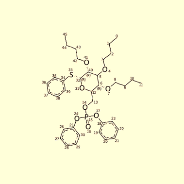 CCCCOC1[C@H](OCCCC)C(COP(=O)(Oc2ccccc2)Oc2ccccc2)O[C@H](Sc2ccccc2)[C@@H]1OCCCC